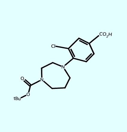 CC(C)(C)OC(=O)N1CCCN(c2ccc(C(=O)O)cc2Cl)CC1